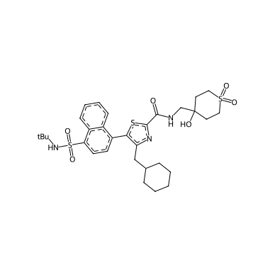 CC(C)(C)NS(=O)(=O)c1ccc(-c2sc(C(=O)NCC3(O)CCS(=O)(=O)CC3)nc2CC2CCCCC2)c2ccccc12